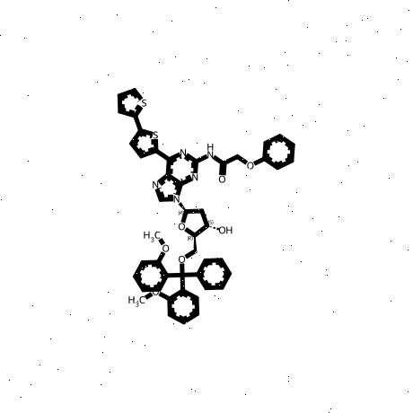 COc1ccccc1C(OC[C@H]1O[C@@H](n2cnc3c(-c4ccc(-c5cccs5)s4)nc(NC(=O)COc4ccccc4)nc32)C[C@@H]1O)(c1ccccc1)c1ccccc1OC